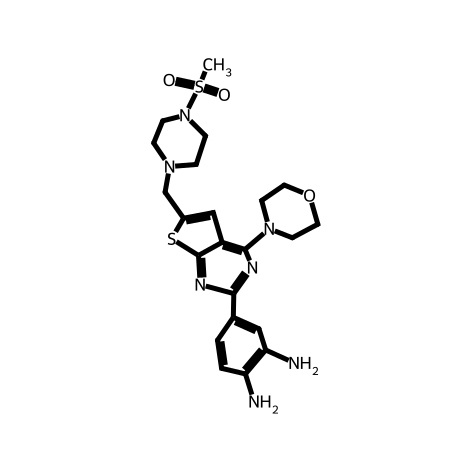 CS(=O)(=O)N1CCN(Cc2cc3c(N4CCOCC4)nc(-c4ccc(N)c(N)c4)nc3s2)CC1